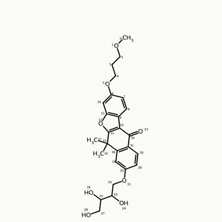 COCCCOc1ccc2c3c(oc2c1)C(C)(C)c1cc(OCC(O)C(O)CO)ccc1C3=O